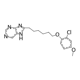 COc1ccc(OCCCCCCc2nc3ncncc3[nH]2)c(Cl)c1